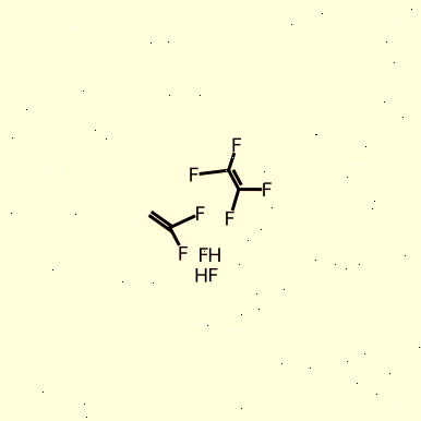 C=C(F)F.F.F.FC(F)=C(F)F